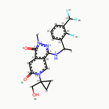 CC(Nc1nn(C)c(=O)c2cc(=O)n(C3(CO)CC3)cc12)c1cccc(C(F)F)c1F